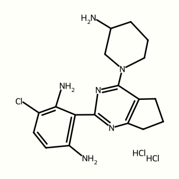 Cl.Cl.Nc1ccc(Cl)c(N)c1-c1nc2c(c(N3CCCC(N)C3)n1)CCC2